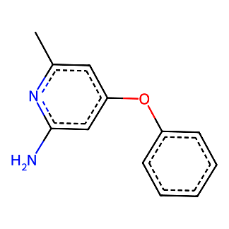 Cc1cc(Oc2ccccc2)cc(N)n1